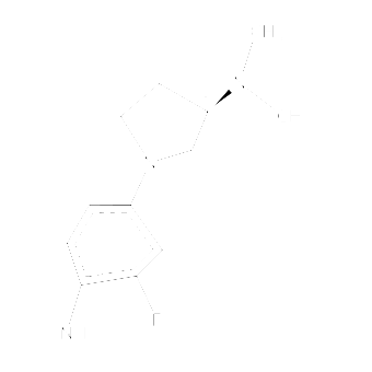 CN(C)[C@@H]1CCN(c2ccc(N)c(F)c2)C1